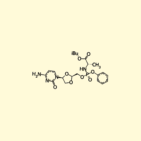 CC[C@@H](C)OC(=O)[C@H](C)N[P@@](=O)(OC[C@H]1OC[C@@H](n2ccc(N)nc2=O)O1)Oc1ccccc1